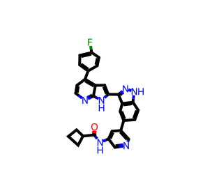 O=C(Nc1cncc(-c2ccc3[nH]nc(-c4cc5c(-c6ccc(F)cc6)ccnc5[nH]4)c3c2)c1)C1CCC1